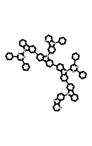 c1ccc(-c2cc(-n3c4ccc(-c5ccc6c7ccc(-c8ccc9c%10ccccc%10n(-c%10nc(-c%11ccccc%11)cc(-c%11ccccc%11)n%10)c9c8)cc7n(-c7ccc8c(c7)c7ncccc7n8-c7ccccc7)c6c5)cc4c4ccc(-c5ccc6c7ccccc7n(-c7ccc8sc9cccnc9c8c7)c6c5)cc43)nc(-c3ccccc3)n2)cc1